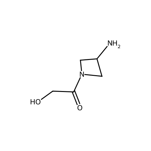 NC1CN(C(=O)CO)C1